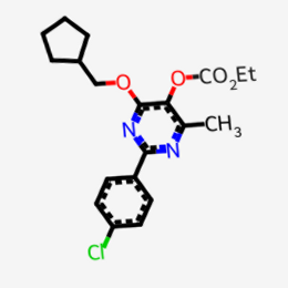 CCOC(=O)Oc1c(C)nc(-c2ccc(Cl)cc2)nc1OCC1CCCC1